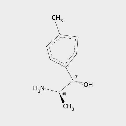 Cc1ccc([C@H](O)[C@@H](C)N)cc1